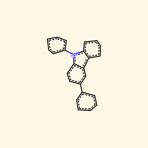 [c]1ccc(-c2ccc3c(c2)c2ccccc2n3-c2ccccc2)cc1